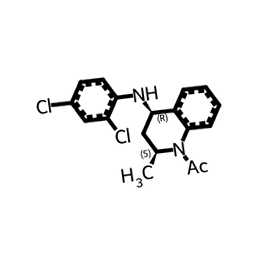 CC(=O)N1c2ccccc2[C@H](Nc2ccc(Cl)cc2Cl)C[C@@H]1C